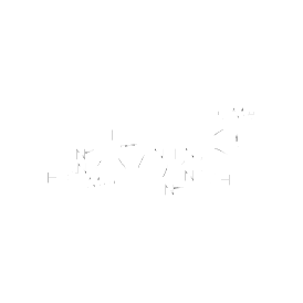 COc1cccc(-c2nc3c(Nc4ccc(-c5cn(C)nc5C)c(OC)c4)cncn3c2C)c1